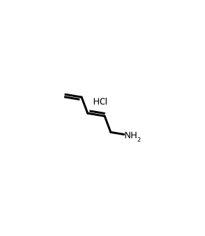 C=CC=CCN.Cl